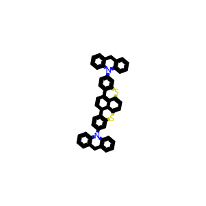 C1=CC2c3ccc(N4c5ccccc5Cc5ccccc54)cc3SC3=CC=C4Sc5cc(N6c7ccccc7Cc7ccccc76)ccc5C1=C4C32